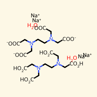 O.O.O=C(O)CN(CCN(CC(=O)O)CC(=O)O)CC(=O)O.O=C([O-])CN(CCN(CC(=O)[O-])CC(=O)[O-])CC(=O)[O-].[Na+].[Na+].[Na+].[Na+]